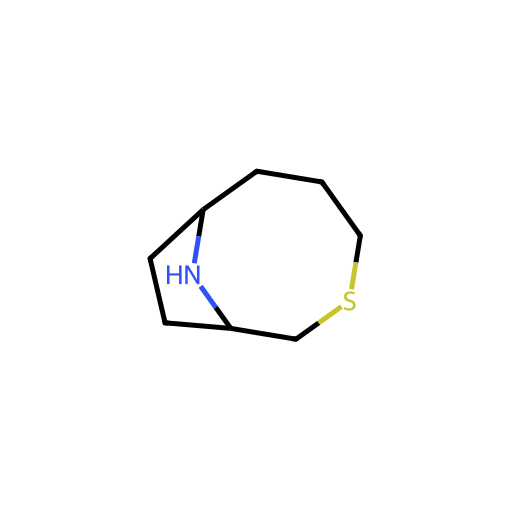 C1CSCC2CCC(C1)N2